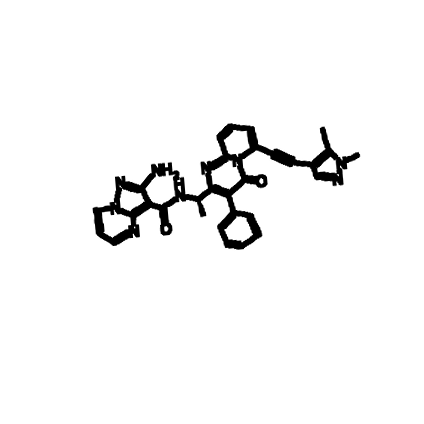 Cc1c(C#Cc2cccc3nc([C@@H](C)NC(=O)c4c(N)nn5cccnc45)c(-c4ccccc4)c(=O)n23)cnn1C